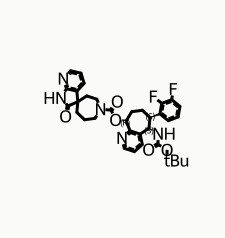 CC(C)(C)OC(=O)N[C@@H]1c2cccnc2[C@H](OC(=O)N2CCCC3(CC2)C(=O)Nc2ncccc23)CC[C@H]1c1cccc(F)c1F